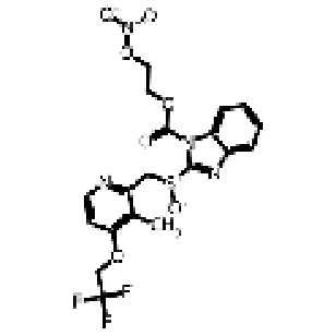 Cc1c(OCC(F)(F)F)ccnc1C[S+]([O-])c1nc2ccccc2n1C(=O)OCCO[N+](=O)[O-]